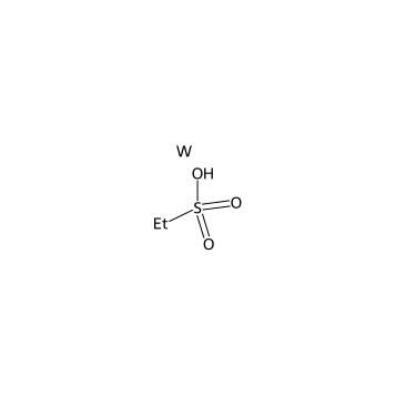 CCS(=O)(=O)O.[W]